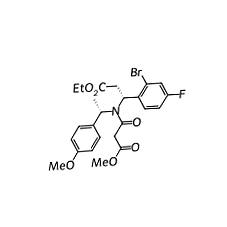 CCOC(=O)C[C@H](c1ccc(F)cc1Br)N(C(=O)CC(=O)OC)[C@@H](C)c1ccc(OC)cc1